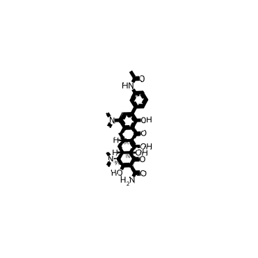 CC(=O)Nc1cccc(-c2cc(N(C)C)c3c(c2O)C(=O)C2=C(O)[C@]4(O)C(=O)C(C(N)=O)=C(O)[C@H](N(C)C)[C@@H]4C[C@@H]2C3)c1